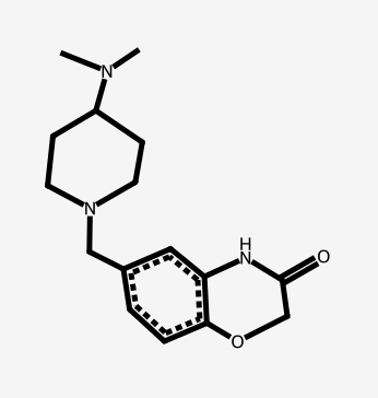 CN(C)C1CCN(Cc2ccc3c(c2)NC(=O)CO3)CC1